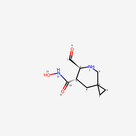 O=C[C@H]1NCC2(CC2)C[C@@H]1C(=O)NO